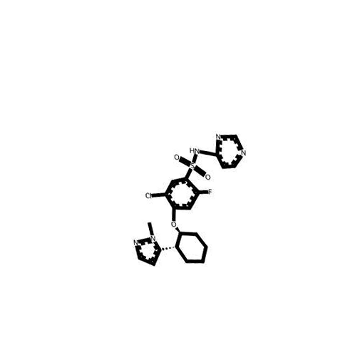 Cn1nccc1[C@H]1CCCC[C@@H]1Oc1cc(F)c(S(=O)(=O)Nc2ccncn2)cc1Cl